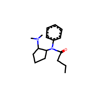 CCCC(=O)N(c1ccccc1)C1CCCC1N(C)C